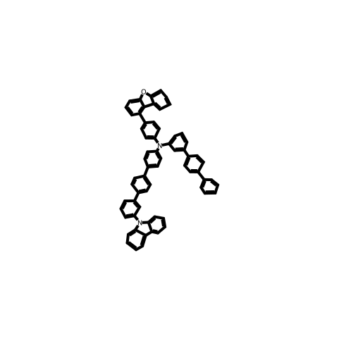 c1ccc(-c2ccc(-c3cccc(N(c4ccc(-c5ccc(-c6cccc(-n7c8ccccc8c8ccccc87)c6)cc5)cc4)c4ccc(-c5cccc6oc7ccccc7c56)cc4)c3)cc2)cc1